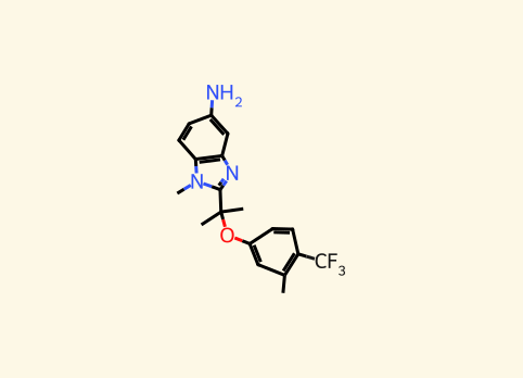 Cc1cc(OC(C)(C)c2nc3cc(N)ccc3n2C)ccc1C(F)(F)F